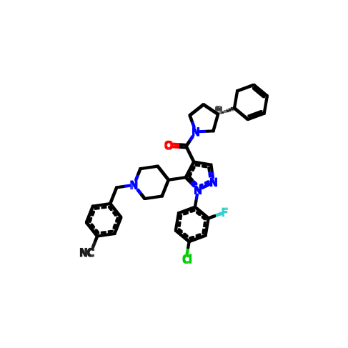 N#Cc1ccc(CN2CCC(c3c(C(=O)N4CC[C@H](C5C=CC=CC5)C4)cnn3-c3ccc(Cl)cc3F)CC2)cc1